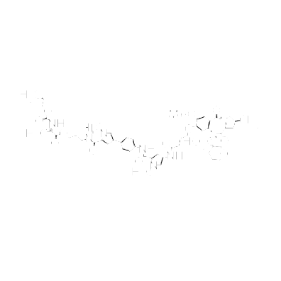 C=CCOC(=O)N[C@@H](C)C(=O)OCCCNC(=O)c1cc(-c2ccc(NC(=O)c3cc(NC(=O)CCCOc4cc5c(cc4OC)C(=O)N4CC(=C)CC4C(OC4CCCCO4)N5C(=O)O)cn3C)cc2)cn1C